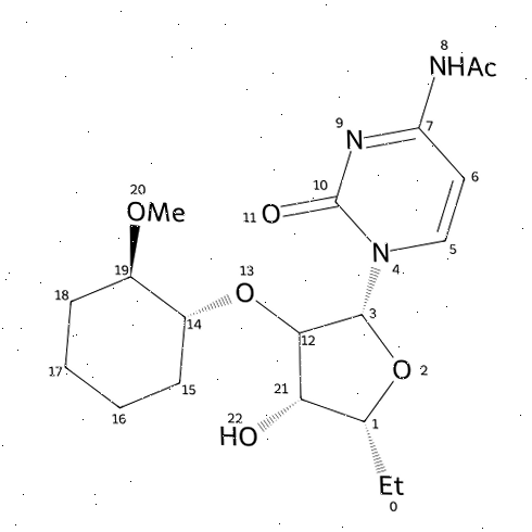 CC[C@H]1O[C@@H](n2ccc(NC(C)=O)nc2=O)C(O[C@@H]2CCCC[C@H]2OC)[C@H]1O